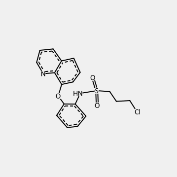 O=S(=O)(CCCCl)Nc1ccccc1Oc1cccc2cccnc12